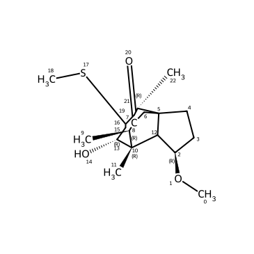 CO[C@@H]1CCC23CC[C@@H](C)[C@](C)(C12)[C@H](O)CC(SC)C(=O)[C@@H]3C